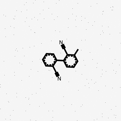 Cc1cccc(-c2ccccc2C#N)c1C#N